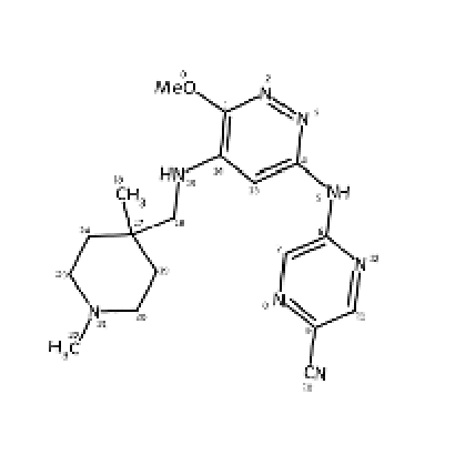 COc1nnc(Nc2cnc(C#N)cn2)cc1NCC1(C)CCN(C)CC1